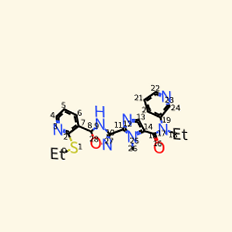 CCSc1ncccc1C1NC(c2ncc(C(=O)N(CC)c3cccnc3)n2C)=NO1